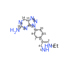 CCN/C=C(\C=N)c1ccc(-n2nnc3cnc(N)nc32)cc1